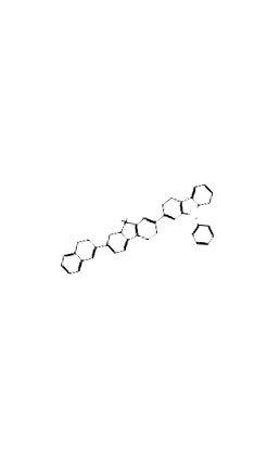 CC1(C)C2=C(CCC(C3=CC4=C(CC3)C3=CC=CCC3N4c3ccccc3)=C2)C2=CC=C(C3=Cc4ccccc4CC3)CC21